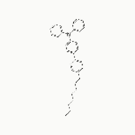 CCCCCCCCc1ccc(-c2ccc(N(c3ccccc3)c3ccccc3)cc2)cc1